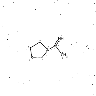 CC(=N)N1CCSC1